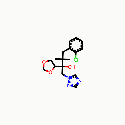 CC(C)(Cc1ccccc1Cl)C(O)(Cn1cncn1)C1COCO1